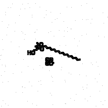 CCCCCCCCCCCCCCCCCC(=O)OC(C)[N+](C)(C)CCO.COS(=O)(=O)[O-]